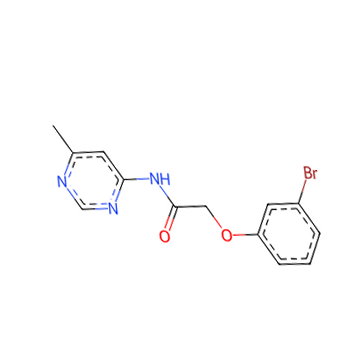 Cc1cc(NC(=O)COc2cccc(Br)c2)ncn1